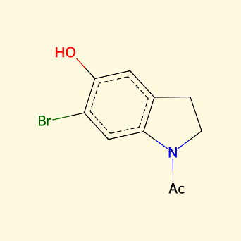 CC(=O)N1CCc2cc(O)c(Br)cc21